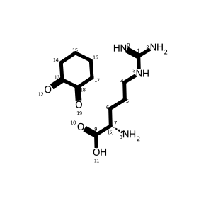 N=C(N)NCCC[C@H](N)C(=O)O.O=C1CCCCC1=O